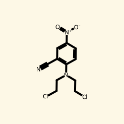 N#Cc1cc([N+](=O)[O-])ccc1N(CCCl)CCCl